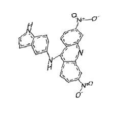 O=[N+]([O-])c1ccc2c(Nc3ccc4[nH]ccc4c3)c3ccc([N+](=O)[O-])cc3nc2c1